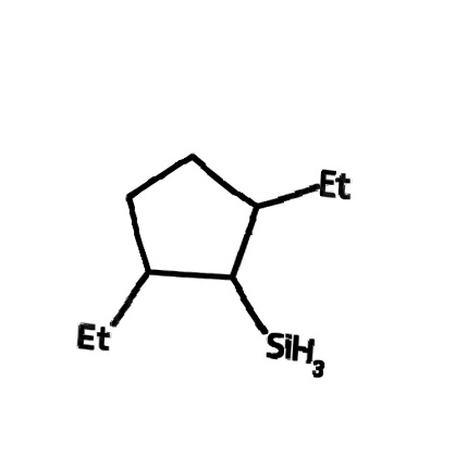 CCC1CCC(CC)C1[SiH3]